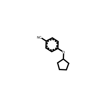 N#Cc1ccc(OC2CCCC2)cc1